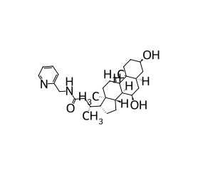 C[C@H](CC(=O)NCc1ccccn1)[C@H]1CC[C@H]2[C@@H]3[C@H](O)C[C@@H]4C[C@H](O)CC[C@]4(C)[C@H]3CC[C@]12C